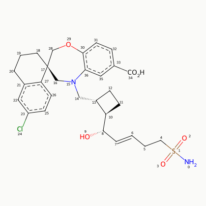 NS(=O)(=O)CC/C=C/[C@H](O)[C@@H]1CC[C@H]1CN1C[C@@]2(CCCc3cc(Cl)ccc32)COc2ccc(C(=O)O)cc21